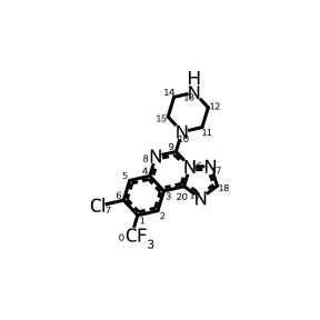 FC(F)(F)c1cc2c(cc1Cl)nc(N1CCNCC1)n1ncnc21